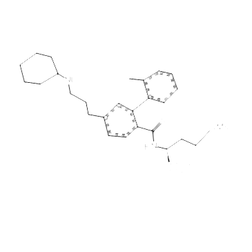 CSCC[C@H](NC(=O)c1ccc(CCCNC2CCCCC2)cc1-c1ccccc1C)C(=O)O